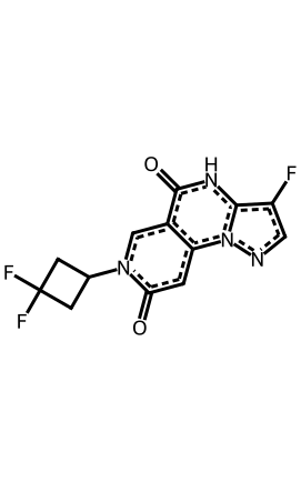 O=c1[nH]c2c(F)cnn2c2cc(=O)n(C3CC(F)(F)C3)cc12